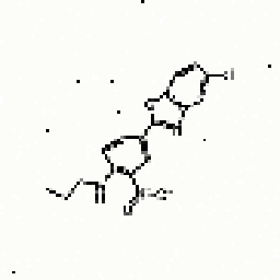 CCCNc1ccc(-c2nc3cc(Cl)ccc3o2)cc1[N+](=O)[O-]